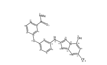 CNC(=O)c1cc(Oc2cccc(Nc3nc4nc(C(F)(F)F)cc(O)n4n3)c2)ccn1